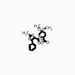 COC1(OC)CCC(C(=O)O)N(C(=O)c2sc(C)nc2-c2ccccc2)C1